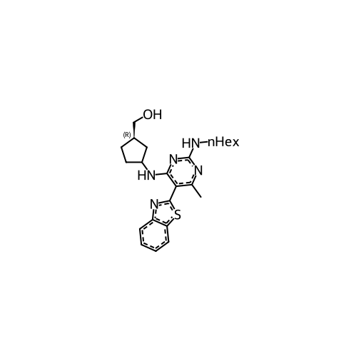 CCCCCCNc1nc(C)c(-c2nc3ccccc3s2)c(NC2CC[C@@H](CO)C2)n1